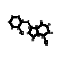 Clc1ccccc1Cn1cnc2c(Cl)ncnc21